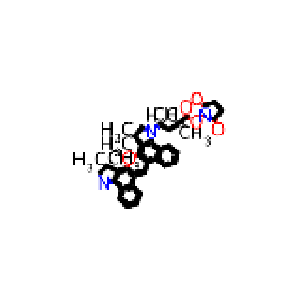 CC(CC(C)(C)C(=O)ON1C(=O)CCC1=O)N1CC(C)(C)c2c3c(c4ccccc4c21)C=c1c(c2c(c4ccccc14)=NCC2(C)C)O3